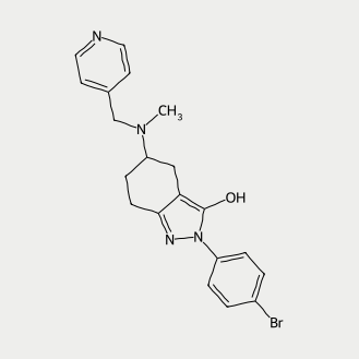 CN(Cc1ccncc1)C1CCc2nn(-c3ccc(Br)cc3)c(O)c2C1